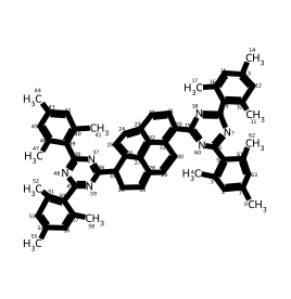 Cc1cc(C)c(-c2nc(-c3c(C)cc(C)cc3C)nc(-c3ccc4ccc5c6c(ccc3c46)=CCC5c3nc(-c4c(C)cc(C)cc4C)nc(-c4c(C)cc(C)cc4C)n3)n2)c(C)c1